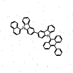 c1ccc(-c2c3ccccc3c(-n3c4ccccc4c4cc(-c5ccc6c(c5)c5ccccc5n6-c5cccc6ccccc56)ccc43)c3ccccc23)cc1